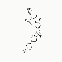 CC1CCC(C2CCC(C(F)(F)Oc3cc(F)c4c(F)c(C#CC(F)(F)F)c(F)cc4c3)OC2)CC1